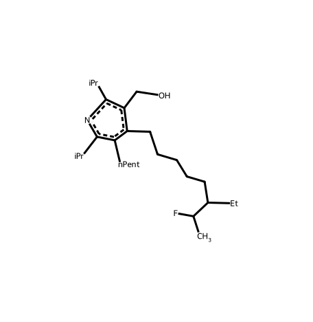 CCCCCc1c(C(C)C)nc(C(C)C)c(CO)c1CCCCCC(CC)C(C)F